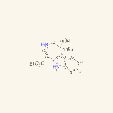 CCCCC1(CCCC)CNC=C(C(=O)OCC)c2[nH]c3ccccc3c21